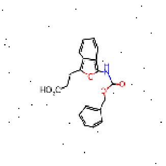 O=C(O)CCc1oc(NC(=O)OCc2ccccc2)c2ccccc12